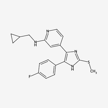 CSc1nc(-c2ccnc(NCC3CC3)c2)c(-c2ccc(F)cc2)[nH]1